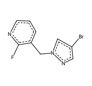 Fc1ncccc1Cn1cc(Br)cn1